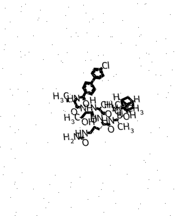 CC[C@H](NC(=O)c1ccc(-c2ccc(Cl)cc2)cc1)C(=O)N[C@H](C(=O)N[C@@H](C)C(=O)N[C@@H](CCCNC(N)=O)C(=O)N[C@@H](C)B1O[C@@H]2C[C@@H]3C[C@@H](C3(C)C)[C@]2(C)O1)[C@@H](C)O